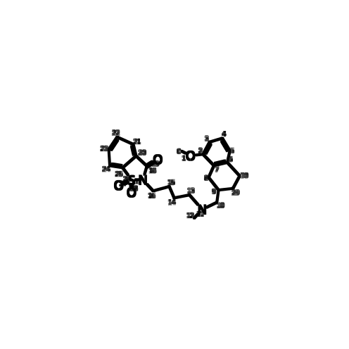 COc1cccc2c1CC(CN(C)CCCCN1C(=O)c3ccccc3S1(=O)=O)CC2